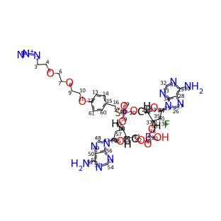 [N-]=[N+]=NCCOCCOCCOc1ccc(CS[P@@]2(=O)OC[C@H]3O[C@@H](n4cnc5c(N)ncnc54)[C@H](F)[C@@H]3OP(=O)(O)OC[C@H]3O[C@@H](n4cnc5c(N)ncnc54)C[C@@H]3O2)cc1